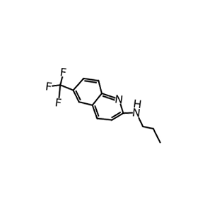 CCCNc1ccc2cc(C(F)(F)F)ccc2n1